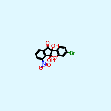 O=C1c2cccc([N+](=O)[O-])c2C2(O)Oc3cc(Br)ccc3C12O